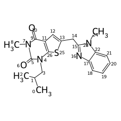 CC(C)Cn1c(=O)n(C)c(=O)c2cc(Cc3nc4ccccc4n3C)sc21